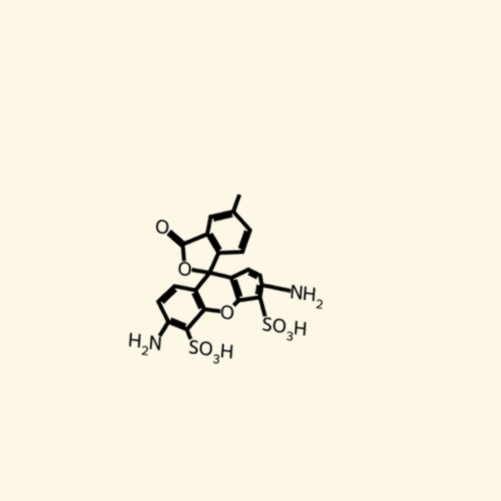 Cc1ccc2c(c1)C(=O)OC21c2ccc(N)c(S(=O)(=O)O)c2Oc2c1ccc(N)c2S(=O)(=O)O